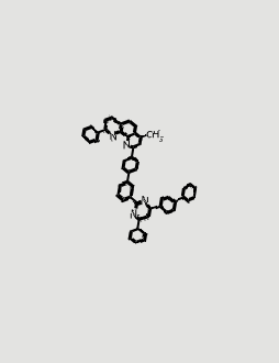 Cc1cc(-c2ccc(-c3cccc(-c4nc(-c5ccccc5)cc(-c5ccc(-c6ccccc6)cc5)n4)c3)cc2)nc2c1ccc1ccc(-c3ccccc3)nc12